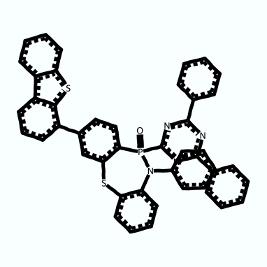 O=P1(c2nc(-c3ccccc3)nc(-c3ccccc3)n2)c2ccc(-c3cccc4c3sc3ccccc34)cc2Sc2ccccc2N1c1ccccc1